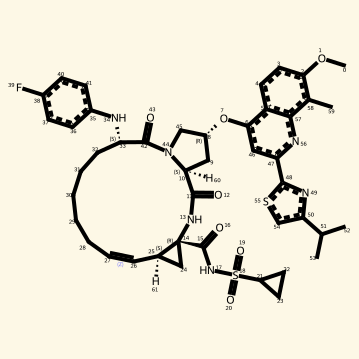 COc1ccc2c(O[C@@H]3C[C@H]4C(=O)N[C@]5(C(=O)NS(=O)(=O)C6CC6)C[C@H]5/C=C\CCCCC[C@H](Nc5ccc(F)cc5)C(=O)N4C3)cc(-c3nc(C(C)C)cs3)nc2c1C